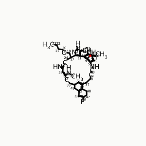 C/C=C(\C)c1c2ccc(Cl)c1-c1c(n[nH]c1C)C(COCCCC)CCC(=N)/C=C(\NC)CCC1C=C(CCCCN2)C2=C(C=C(F)CC2)C1